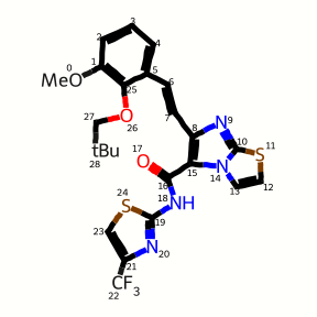 COc1cccc(C=Cc2nc3sccn3c2C(=O)Nc2nc(C(F)(F)F)cs2)c1OCC(C)(C)C